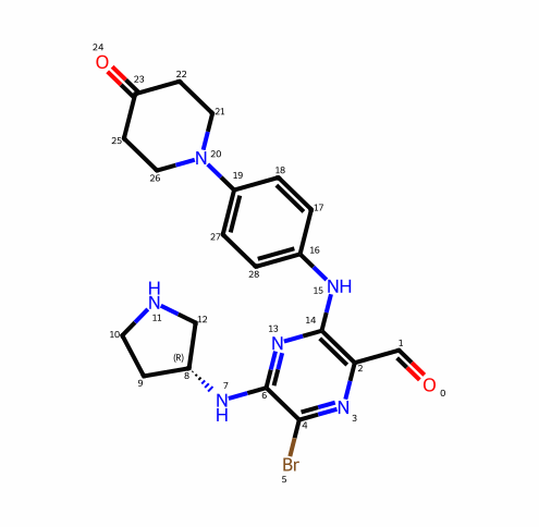 O=Cc1nc(Br)c(N[C@@H]2CCNC2)nc1Nc1ccc(N2CCC(=O)CC2)cc1